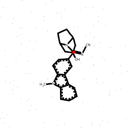 Cn1c2ccccc2c2cc(C(=NC#N)N3C4CCC3CC(O)C4)ccc21